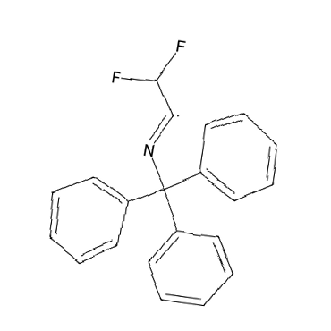 FC(F)/[C]=N/C(c1ccccc1)(c1ccccc1)c1ccccc1